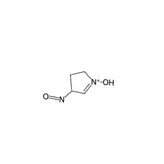 O=NC1C=[N+](O)CC1